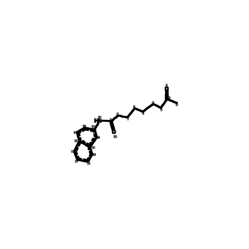 CC(=O)CCCCCCC(=O)Nc1ccc2ccccc2c1